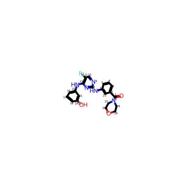 O=C(c1cccc(Nc2ncc(F)c(Nc3cccc(O)c3)n2)c1)N1CCOCC1